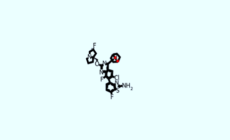 Nc1nc2c(-c3c(Cl)cc4c(N5CC6CCC(CC6)C5)nc(OC[C@@]56CCCN5C[C@H](F)C6)nc4c3F)ccc(F)c2s1